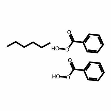 CCCCCC.O=C(OO)c1ccccc1.O=C(OO)c1ccccc1